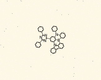 c1ccc(-c2nc(-c3ccccc3)nc(-c3cc4c5c(c3)-n3c6ccccc6c6cccc(c63)B5c3ccccc3N4c3ccccc3)n2)cc1